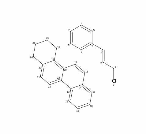 ClCC=Cc1ccccc1.c1ccc2c(c1)ccc1c3c(ccc12)CCCC3